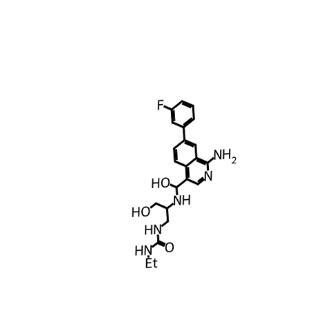 CCNC(=O)NCC(CO)NC(O)c1cnc(N)c2cc(-c3cccc(F)c3)ccc12